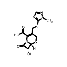 Cn1ncnc1SCC1=C(C(=O)O)N2C(=O)[C@@H](O)[C@H]2SC1